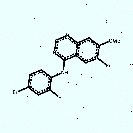 COc1cc2ncnc(Nc3ccc(Br)cc3F)c2cc1Br